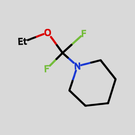 CCOC(F)(F)N1CCCCC1